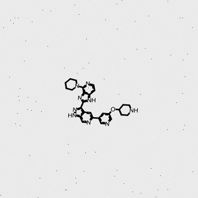 c1cc2[nH]c(-c3n[nH]c4cnc(-c5cncc(OC6CCNCC6)c5)cc34)nc2c(N2CCCCC2)n1